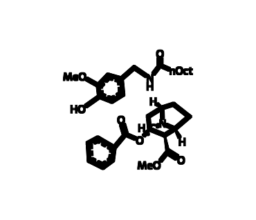 CCCCCCCCC(=O)NCc1ccc(O)c(OC)c1.COC(=O)[C@H]1[C@@H](OC(=O)c2ccccc2)C[C@@H]2CC[C@H]1N2C